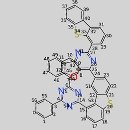 c1ccc(-c2nc(-c3ccccc3)nc(-c3cccc4sc5ccc(-c6nc(-c7cccc8c7sc7ccccc78)nc7c6oc6ccccc67)cc5c34)n2)cc1